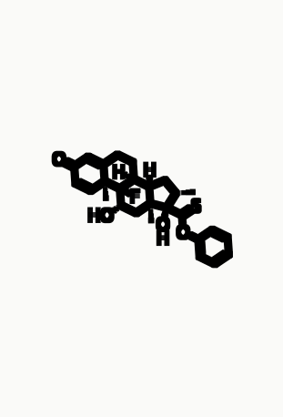 C[C@H]1C[C@H]2[C@@H]3CCC4=CC(=O)C=C[C@]4(C)[C@@]3(F)[C@@H](O)C[C@]2(C)[C@@]1(O)C(=S)Oc1ccccc1